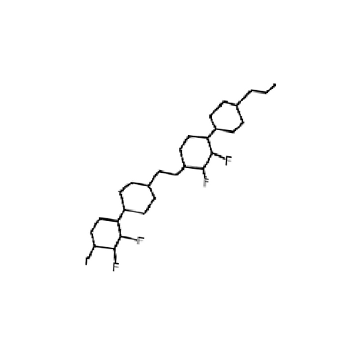 CCCC1CCC(C2CCC(CCC3CCC(C4CCC(I)C(F)C4F)CC3)C(F)C2F)CC1